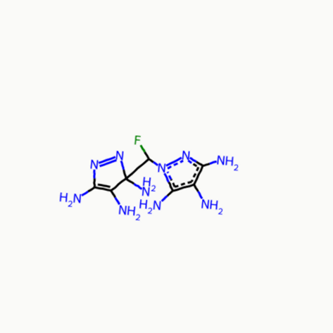 NC1=C(N)C(N)(C(F)n2nc(N)c(N)c2N)N=N1